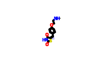 [NH]CCOc1ccc(/C=C2/SC(=O)NC2=O)cc1